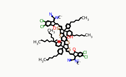 [C-]#[N+]/C(C#N)=C1\C(=C\c2cc3c(s2)-c2sc4c(OCCCCCCCC)c5c6c(sc5c(O)c4c2C3(c2ccc(CCCCCC)cc2)c2ccc(CCCCCC)cc2)-c2sc(/C=C3\C(=O)c4cc(Cl)c(Cl)cc4\C3=C(\C#N)[N+]#[C-])cc2C6(c2ccc(CCCCCC)cc2)c2ccc(CCCCCC)cc2)C(=O)c2cc(Cl)c(Cl)cc21